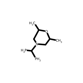 CC1CN(C(P)P)CC(C)O1